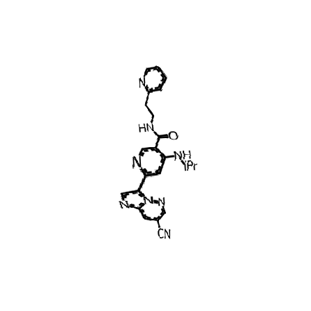 CC(C)Nc1cc(-c2cnc3cc(C#N)cnn23)ncc1C(=O)NCCc1ccccn1